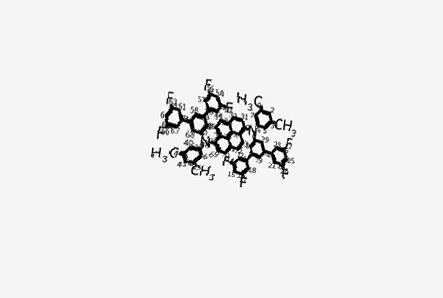 Cc1cc(C)cc(N(c2cc(-c3cc(F)cc(F)c3)cc(-c3cc(F)cc(F)c3)c2)c2ccc3ccc4c(N(c5cc(C)cc(C)c5)c5cc(-c6cc(F)cc(F)c6)cc(-c6cc(F)cc(F)c6)c5)ccc5ccc2c3c54)c1